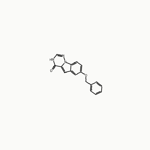 O=c1[nH]cnn2c1cc1cc(OCc3ccccc3)ccc12